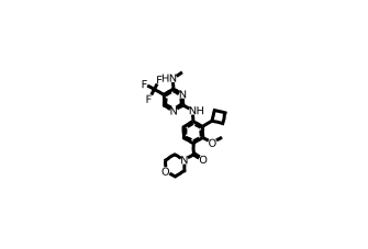 CNc1nc(Nc2ccc(C(=O)N3CCOCC3)c(OC)c2C2CCC2)ncc1C(F)(F)F